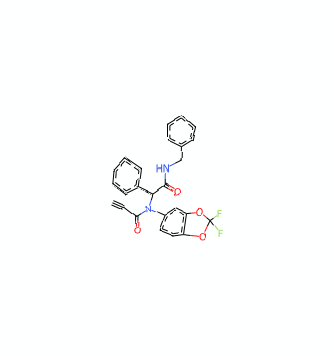 C#CC(=O)N(c1ccc2c(c1)OC(F)(F)O2)C(C(=O)NCc1ccccc1)c1ccccc1